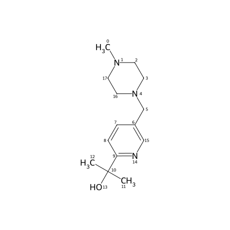 CN1CCN(Cc2ccc(C(C)(C)O)nc2)CC1